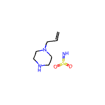 C=CCN1CCNCC1.N=S(=O)=O